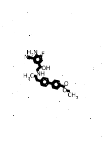 CCOC(=O)c1ccc(-c2ccc(CC(C)NCC(O)c3cc(F)c(N)c(C#N)c3)cc2)cc1